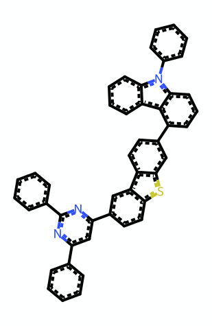 c1ccc(-c2cc(-c3ccc4sc5cc(-c6cccc7c6c6ccccc6n7-c6ccccc6)ccc5c4c3)nc(-c3ccccc3)n2)cc1